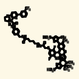 C=c1cc2c(cc1-c1sc(S(=O)(=O)O)cc1C(C)(C)C)=C(c1c(F)c(SCC(=O)NCCCCCC(=O)NCc3ccc(NC(=O)N4c5nc(-c6cccc(C(F)(F)F)c6)ccc5N5CC[C@H]4C5)cc3)cc(F)c1S(=O)(=O)O)c1cc3c(cc1O2)N(C)C(C)(C)c1cc(S(=O)(=O)O)sc1-3